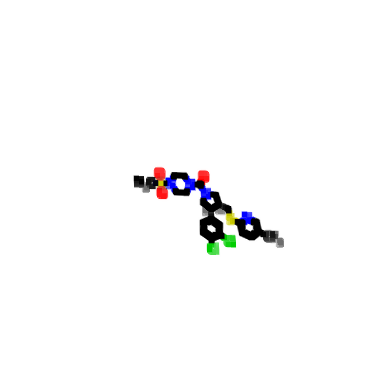 CS(=O)(=O)N1CCN(C(=O)N2C[C@@H](CSc3ccc(C(F)(F)F)cn3)[C@@H](c3ccc(Cl)c(Cl)c3)C2)CC1